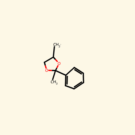 [CH2]C1COC(C)(c2ccccc2)O1